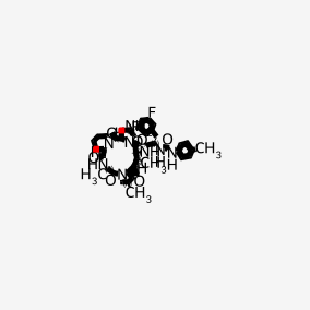 Cc1ccc(NC(=O)N[C@@H](Cc2cc(F)cc(F)c2)C(=O)N[C@@H]2C(=O)N3C[C@@H](N)C[C@H]3C(=O)N3CCCC[C@H]3C(=O)N[C@@H](C)C(=O)N3C[C@H](C)CC34C(=O)[C@@H]4[C@H]2C)cc1